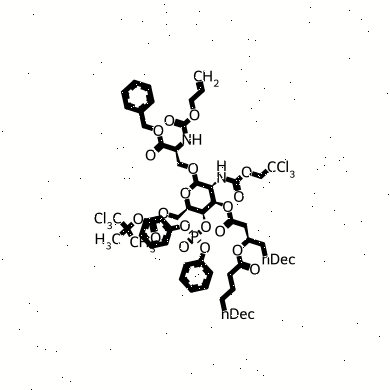 C=CCOC(=O)N[C@@H](COC1O[C@H](COC(=O)OC(C)(C)C(Cl)(Cl)Cl)[C@@H](OP(=O)(Oc2ccccc2)Oc2ccccc2)[C@H](OC(=O)C[C@@H](CCCCCCCCCCC)OC(=O)CCCCCCCCCCCCC)[C@H]1NC(=O)OCC(Cl)(Cl)Cl)C(=O)OCc1ccccc1